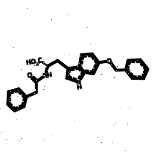 O=C(Cc1ccccc1)N[C@@H](Cc1c[nH]c2cc(OCc3ccccc3)ccc12)C(=O)O